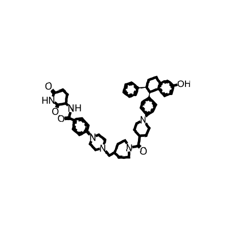 O=C1CCC(NC(=O)c2ccc(N3CCN(CC4CCN(C(=O)C5CCN(c6ccc([C@@H]7c8ccc(O)cc8CC[C@@H]7c7ccccc7)cc6)CC5)CC4)CC3)cc2)C(=O)N1